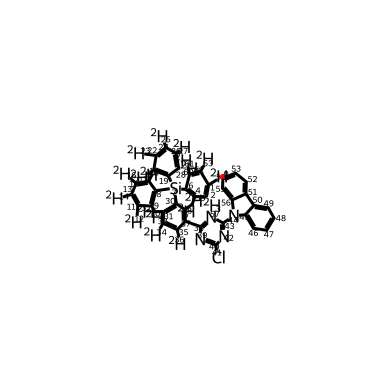 [2H]c1c([2H])c([2H])c([Si](c2c([2H])c([2H])c([2H])c([2H])c2[2H])(c2c([2H])c([2H])c([2H])c([2H])c2[2H])c2c([2H])c([2H])c([2H])c(-c3nc(Cl)nc(-n4c5ccccc5c5ccccc54)n3)c2[2H])c([2H])c1[2H]